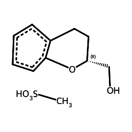 CS(=O)(=O)O.OC[C@H]1CCc2ccccc2O1